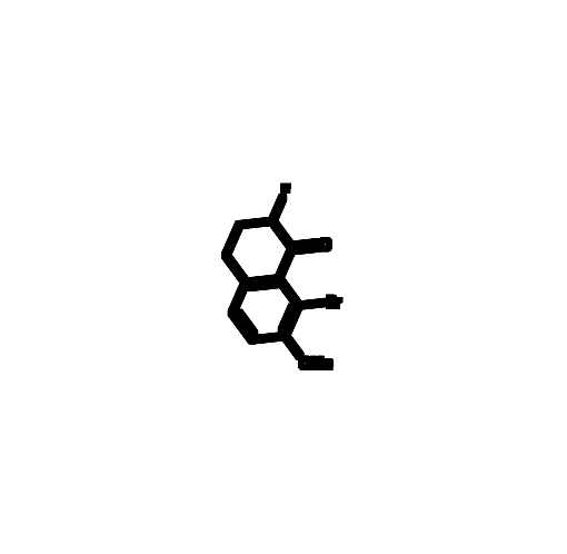 COc1ccc2c(c1Br)C(=O)C(F)CC2